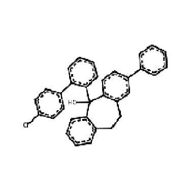 OC1(c2ccccc2-c2ccc(Cl)cc2)c2ccccc2CCc2cc(-c3ccccc3)ccc21